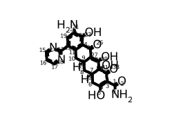 NC(=O)C1=C(O)C[C@@H]2C[C@@H]3Cc4c(-c5ncccn5)cc(N)c(O)c4C(=O)C3=C(O)[C@]2(O)C1=O